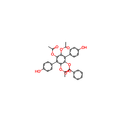 CC(=O)Oc1c(OC(C)=O)c(-c2ccc(O)cc2)c(OC(=O)c2ccccc2)c(OC(C)=O)c1-c1ccc(O)cc1